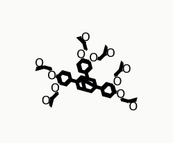 c1cc(OCC2CO2)c(OCC2CO2)cc1C12CC3CC(c4ccc(OCC5CO5)c(OCC5CO5)c4)(C1)CC(c1ccc(OCC4CO4)c(OCC4CO4)c1)(C3)C2